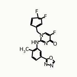 Cc1ccc(-c2nnco2)cc1Nc1nc(=O)c(F)cn1Cc1ccc(F)c(F)c1